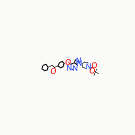 CC(C)(C)OC(=O)N1CCC(n2ncc3c(Oc4ccc(C(=O)Cc5ccccc5)cc4)ncnc32)CC1